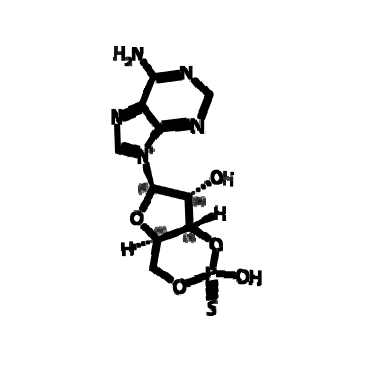 NC1=NCN=C2C1=NC=[N+]2[C@@H]1O[C@@H]2COP(O)(=S)O[C@H]2[C@H]1O